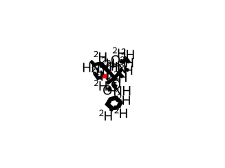 [2H]c1ccc(NS(=O)(=O)C([2H])(N2CCNCC2)C([2H])(C([2H])([2H])N([2H])C(=O)C([2H])([2H])[2H])C([2H])([2H])C([2H])([2H])C([2H])CC)c([2H])c1[2H]